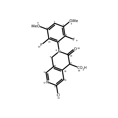 COc1cc(OC)c(F)c(N2Cc3cnc(Cl)cc3C(C(=O)O)C2=O)c1F